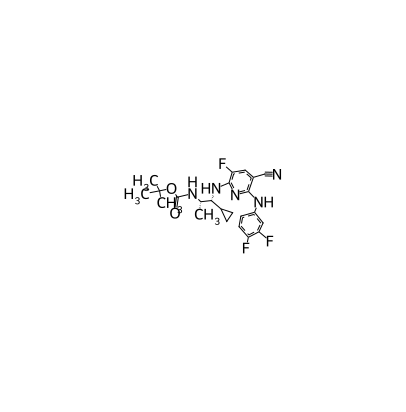 C[C@H](NC(=O)OC(C)(C)C)[C@H](Nc1nc(Nc2ccc(F)c(F)c2)c(C#N)cc1F)C1CC1